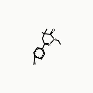 CCN1N=C(c2ccc(Br)cc2)CC(C)(C)C1=O